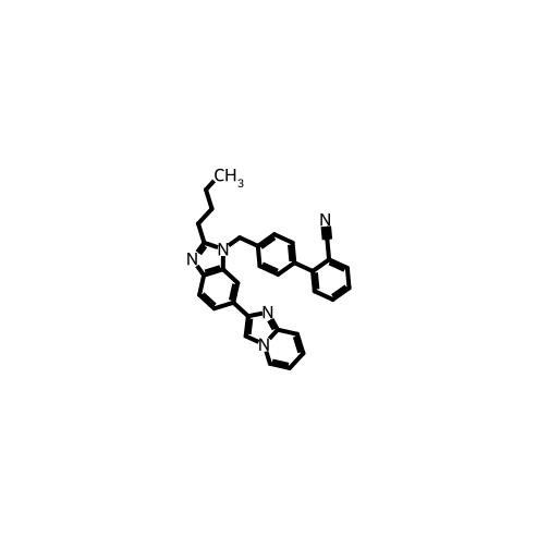 CCCCc1nc2ccc(-c3cn4ccccc4n3)cc2n1Cc1ccc(-c2ccccc2C#N)cc1